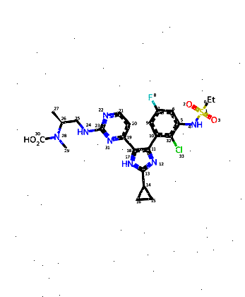 CCS(=O)(=O)Nc1cc(F)cc(-c2nc(C3CC3)[nH]c2-c2ccnc(NC[C@H](C)N(C)C(=O)O)n2)c1Cl